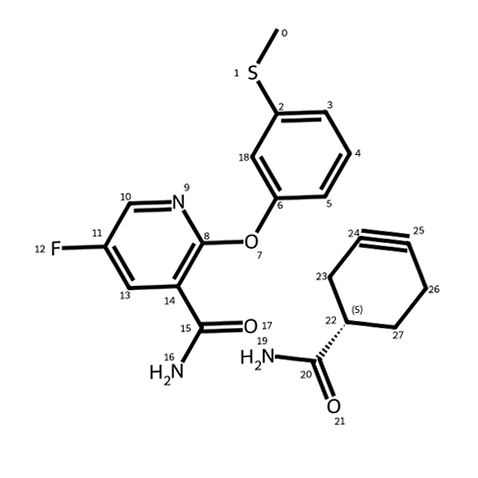 CSc1cccc(Oc2ncc(F)cc2C(N)=O)c1.NC(=O)[C@@H]1CC#CCC1